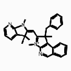 CN1C(=CC2=[N+](C)c3ncc4ccccc4c3C2(C)Cc2ccccc2)C(C)(C)c2cccnc21